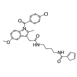 COc1ccc2c(c1)c(CC(=O)NCCCCNC(=O)C1=CC=CC1)c(C)n2C(=O)c1ccc(Cl)cc1